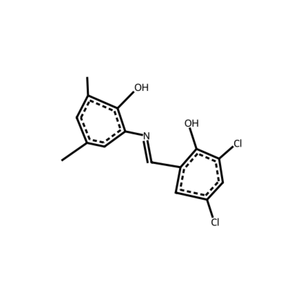 Cc1cc(C)c(O)c(N=Cc2cc(Cl)cc(Cl)c2O)c1